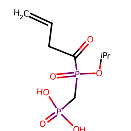 C=CCC(=O)P(=O)(CP(=O)(O)O)OC(C)C